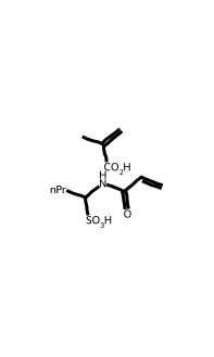 C=C(C)C(=O)O.C=CC(=O)NC(CCC)S(=O)(=O)O